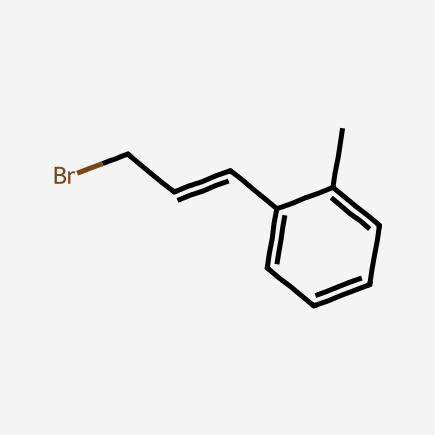 Cc1ccccc1/C=C/CBr